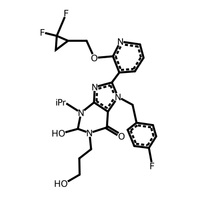 CC(C)N1c2nc(-c3cccnc3OCC3CC3(F)F)n(Cc3ccc(F)cc3)c2C(=O)N(CCCO)C1O